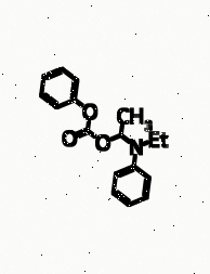 CCN(c1ccccc1)C(C)OC(=O)Oc1ccccc1